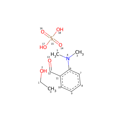 CCO.CN(C)c1ccccc1C=O.O=S(=O)(O)O